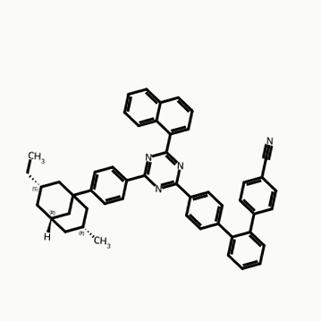 CC[C@H]1C[C@H]2C[C@@H](C)CC(c3ccc(-c4nc(-c5ccc(-c6ccccc6-c6ccc(C#N)cc6)cc5)nc(-c5cccc6ccccc56)n4)cc3)(C2)C1